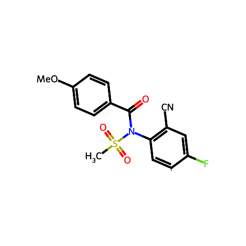 COc1ccc(C(=O)N(c2c[c]c(F)cc2C#N)S(C)(=O)=O)cc1